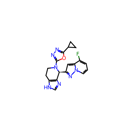 Fc1cccn2nc([C@H]3c4nc[nH]c4CCN3c3nnc(C4CC4)o3)cc12